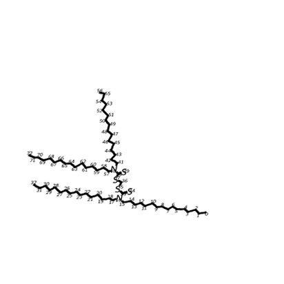 CCCCCCCCCCCCCCCCN(CCCCCCCCCCCCCCCC)C(=S)SCSC(=S)N(CCCCCCCCCCCCCCCC)CCCCCCCCCCCCCCCC